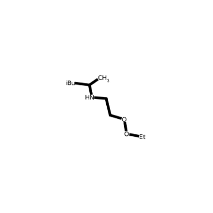 CCOOCCNC(C)C(C)CC